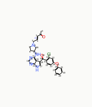 CC(=O)/C=C/CN1CCC(Nc2ncnc3[nH]cc(C(=O)c4ccc(Oc5ccccc5)cc4Cl)c23)C1